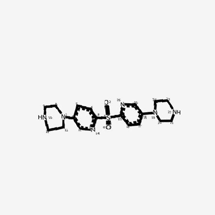 O=S(=O)(c1ccc(N2CCNCC2)cn1)c1ccc(N2CCNCC2)cn1